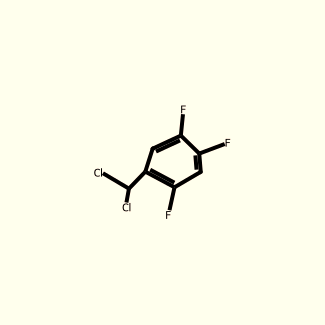 Fc1cc(F)c(C(Cl)Cl)cc1F